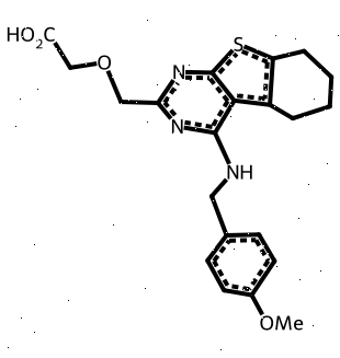 COc1ccc(CNc2nc(COCC(=O)O)nc3sc4c(c23)CCCC4)cc1